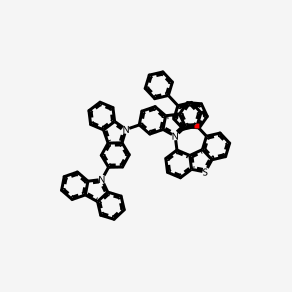 c1ccc(-c2ccc(-c3cccc4sc5cccc(-n6c7ccccc7c7ccc(-n8c9ccccc9c9cc(-n%10c%11ccccc%11c%11ccccc%11%10)ccc98)cc76)c5c34)cc2)cc1